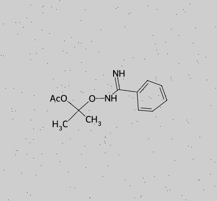 CC(=O)OC(C)(C)ONC(=N)c1ccccc1